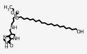 CCOP(=O)(CCCNCC1CNc2c1nc[nH]c2=O)OCCCCCCCCCCCCCCCCCCCO